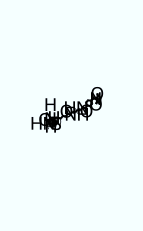 O=C(CCCC[C@@H]1SC[C@@H]2NC(=O)N[C@@H]21)NCCCCNC(=O)C1CCC(CN2C(=O)C=CC2=O)CC1